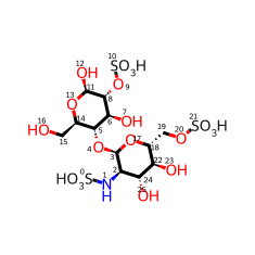 O=S(=O)(O)N[C@H]1[C@@H](O[C@H]2[C@H](O)[C@@H](OS(=O)(=O)O)[C@H](O)O[C@@H]2CO)O[C@H](COS(=O)(=O)O)[C@@H](O)[C@@H]1O